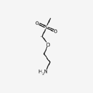 CS(=O)(=O)[CH]OCCN